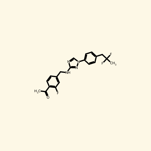 CC(=O)c1ccc(CNc2ncn(-c3ccc(CC(C)(F)F)cc3)n2)cc1F